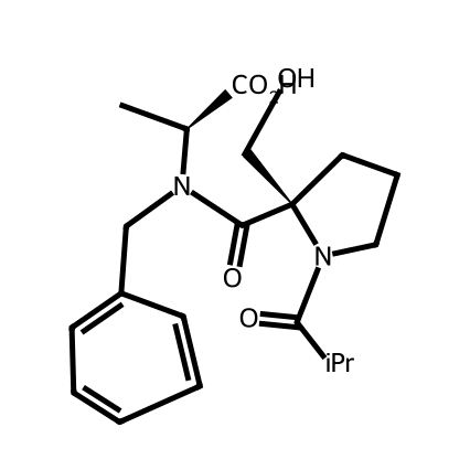 CC(C)C(=O)N1CCC[C@@]1(CO)C(=O)N(Cc1ccccc1)[C@@H](C)C(=O)O